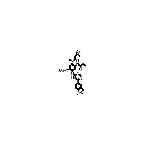 C=CC(=O)Nc1cc(Nc2cc(-c3ccc4c(cnn4C)c3)ncn2)c(OC)cc1N(C)CCN(C)C(C)=O